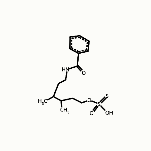 CC(CCNC(=O)c1ccccc1)C(C)CCOS(=O)(O)=S